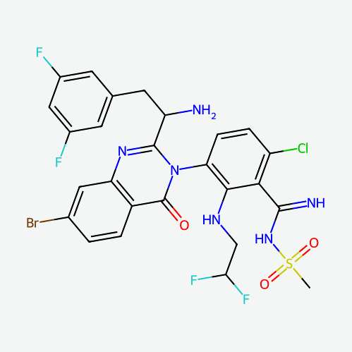 CS(=O)(=O)NC(=N)c1c(Cl)ccc(-n2c(C(N)Cc3cc(F)cc(F)c3)nc3cc(Br)ccc3c2=O)c1NCC(F)F